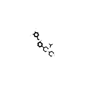 COc1ccc(-c2nc3ccc(C4CCN(C5CCNCC5)[C@H](CC(C)C)C4)cc3[nH]2)cc1OC